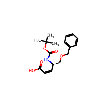 CC(C)(C)OC(=O)N[C@@H](/C=C\C(=O)O)COCc1ccccc1